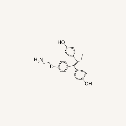 CC/C(=C(\c1ccc(O)cc1)c1ccc(OCCN)cc1)c1ccc(O)cc1